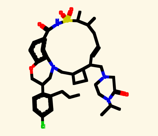 CCCc1cc(Cl)ccc1C1COc2ccc3cc2N(C1)CC1CCC1C(CN1CCN(C(C)C)C(=O)C1)/C=C/CC(C)C(C)S(=O)(=O)NC3=O